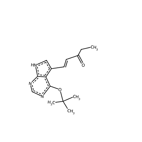 CCC(=O)C=Cc1c[nH]c2ncnc(OC(C)(C)C)c12